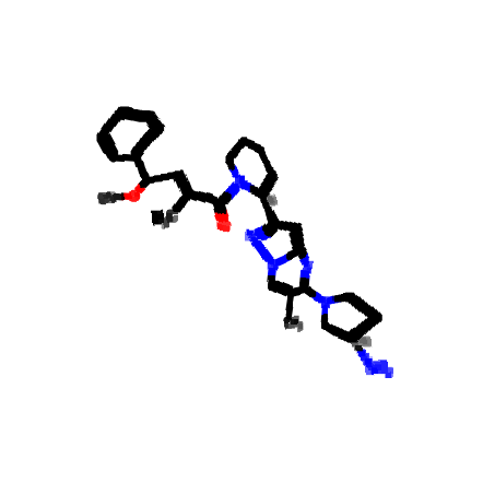 Cc1cn2nc([C@@H]3CCCCN3C(=O)C(C)CC(ON=O)c3ccccc3)cc2nc1N1CC[C@H](N)C1